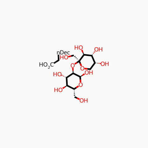 CCCCCCCCCCCC(=O)O.OC[C@H]1O[C@H](O)[C@H](O[C@]2(CO)OC[C@@H](O)[C@@H](O)[C@@H]2O)[C@@H](O)[C@@H]1O